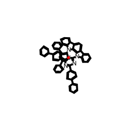 c1ccc(-c2ccc(-c3nc(-c4ccc(-c5ccccc5)cc4)nc(-n4c5ccccc5c5ccc6c7ccccc7n(-c7ccc(-c8ccccc8)cc7-c7ccccc7)c6c54)n3)cc2)cc1